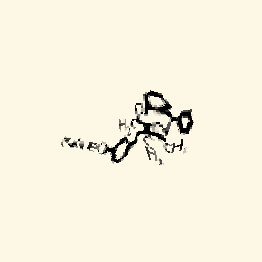 C=C(O)C1N(C(c2ccccc2)c2ccccc2)C(=C)[C@]1(C)CCc1ccc(OC)cc1